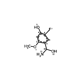 COc1cc(O)c(F)cc1C(N)O